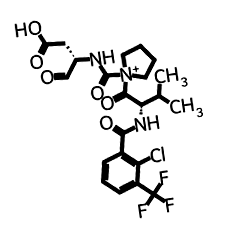 CC(C)[C@H](NC(=O)c1cccc(C(F)(F)F)c1Cl)C(=O)[N+]1(C(=O)N[C@H](C=O)CC(=O)O)CCCC1